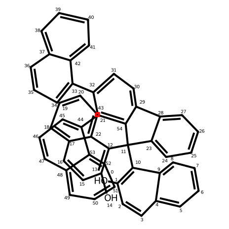 Oc1ccc2ccccc2c1C1(c2c(O)ccc3ccccc23)c2ccccc2-c2ccc(-c3cccc4ccccc34)c(-c3cccc4ccccc34)c21